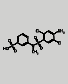 CN(c1cccc(S(=O)(=O)O)c1)S(=O)(=O)c1cc(Cl)c(N)cc1Cl